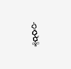 CN1CCN(c2ccc(-c3ccc(S(=O)(=O)Cl)cc3F)cc2)CC1